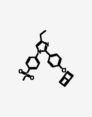 CCc1cn(-c2ccc(S(C)(=O)=O)cc2)c(-c2ccc(Cl)cc2)n1.c1cc2ccc1-2